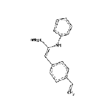 C=Cc1ccc(C=C(CCCCCCC)Nc2ccccc2)cc1